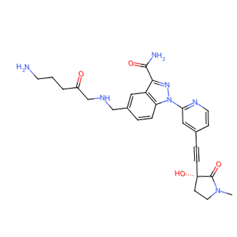 CN1CC[C@@](O)(C#Cc2ccnc(-n3nc(C(N)=O)c4cc(CNCC(=O)CCCN)ccc43)c2)C1=O